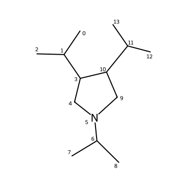 CC(C)C1CN(C(C)C)CC1C(C)C